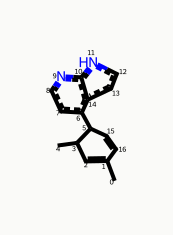 CC1=CC(C)C(c2ccnc3[nH]ccc23)C=C1